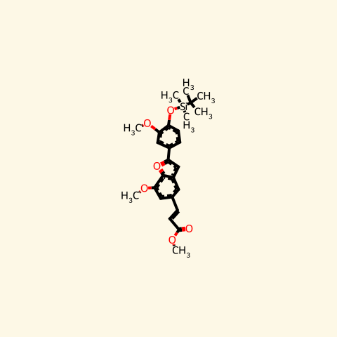 COC(=O)/C=C/c1cc(OC)c2oc(-c3ccc(O[Si](C)(C)C(C)(C)C)c(OC)c3)cc2c1